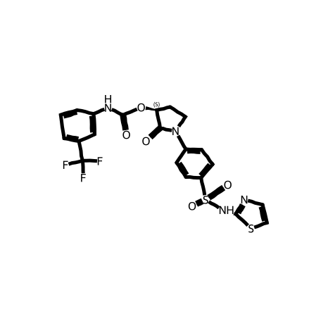 O=C(Nc1cccc(C(F)(F)F)c1)O[C@H]1CCN(c2ccc(S(=O)(=O)Nc3nccs3)cc2)C1=O